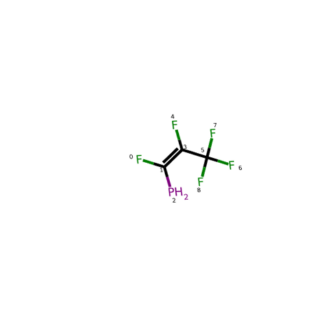 F/C(P)=C(\F)C(F)(F)F